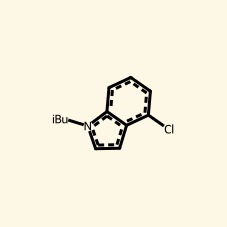 CCC(C)n1ccc2c(Cl)cccc21